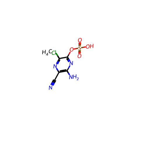 C.N#Cc1nc(Cl)c(OS(=O)(=O)O)nc1N